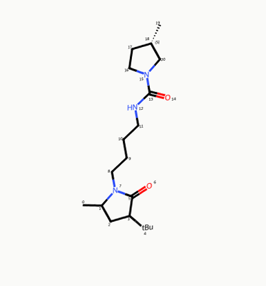 CC1CC(C(C)(C)C)C(=O)N1CCCCNC(=O)N1CC[C@H](C)C1